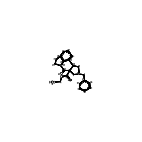 CCOC(=O)C12CN(Cc3ccccc3)CC1c1cccc3c1N(CC3)C2=O